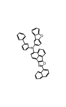 c1ccc(-c2cccc(N(c3ccc4oc5ccccc5c4c3)c3ccc4c5c(cccc35)-c3oc(-c5cccc6ccccc56)nc3-4)c2)cc1